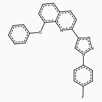 Fc1ccc(-n2cc(-c3ccc4cccc(Oc5ccccc5)c4n3)nn2)cc1